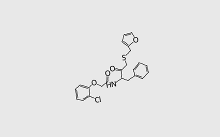 O=C(COc1ccccc1Cl)NC(Cc1ccccc1)C(=O)CSCc1ccco1